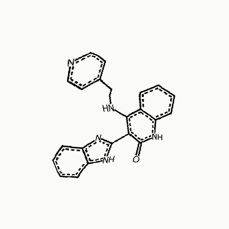 O=c1[nH]c2ccccc2c(NCc2ccncc2)c1-c1nc2ccccc2[nH]1